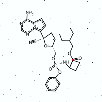 CCC(CC)COC(=O)C1(N[P@](=O)(OC[C@H]2CC[C@](C#N)(c3ccc4c(N)ncnn34)O2)Oc2ccccc2)CCC1